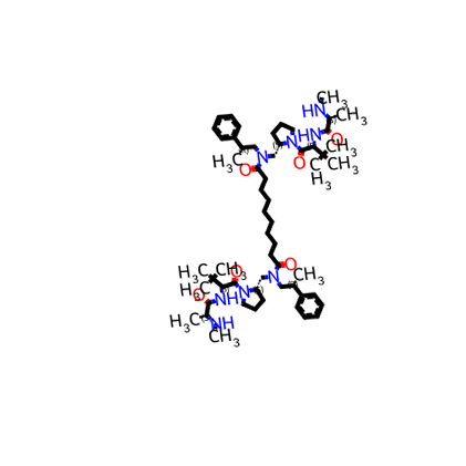 CN[C@@H](C)C(=O)N[C@H](C(=O)N1CCC[C@H]1CN(C[C@H](C)c1ccccc1)C(=O)CCCCCCCCC(=O)N(C[C@@H]1CCCN1C(=O)[C@@H](NC(=O)[C@H](C)NC)C(C)(C)C)C[C@H](C)c1ccccc1)C(C)(C)C